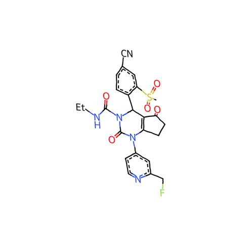 CCNC(=O)N1C(=O)N(c2ccnc(CF)c2)C2=C(C(=O)CC2)C1c1ccc(C#N)cc1S(C)(=O)=O